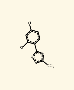 Clc1ccc(-c2nc(C(Cl)(Cl)Cl)no2)c(Cl)c1